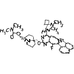 CCc1cccc2cccc(-c3ncc4c(NCC5(N(C)C)CCC5)nc(OC[C@]56CCCN5[C@@H](COC(=O)N(C)C)CC6)nc4c3F)c12